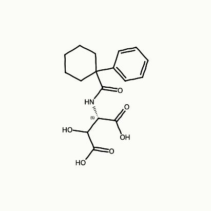 O=C(O)C(O)[C@H](NC(=O)C1(c2ccccc2)CCCCC1)C(=O)O